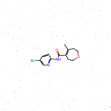 CC1=C(C(=O)Nc2ccc(Br)cn2)CCOCC1